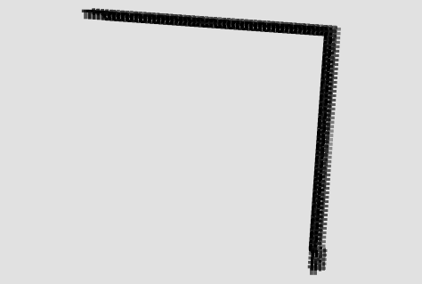 [O-2].[O-2].[O-2].[O-2].[O-2].[O-2].[O-2].[O-2].[O-2].[O-2].[O-2].[O-2].[O-2].[O-2].[O-2].[O-2].[O-2].[O-2].[O-2].[O-2].[O-2].[O-2].[O-2].[O-2].[O-2].[O-2].[O-2].[O-2].[O-2].[O-2].[O-2].[O-2].[O-2].[O-2].[O-2].[O-2].[O-2].[O-2].[O-2].[O-2].[O-2].[O-2].[O-2].[O-2].[O-2].[O-2].[O-2].[O-2].[O-2].[O-2].[O-2].[O-2].[O-2].[O-2].[O-2].[O-2].[O-2].[O-2].[O-2].[O-2].[O-2].[O-2].[O-2].[O-2].[O-2].[O-2].[O-2].[O-2].[O-2].[O-2].[O-2].[O-2].[O-2].[O-2].[O-2].[O-2].[O-2].[O-2].[O-2].[O-2].[O-2].[O-2].[O-2].[O-2].[O-2].[O-2].[O-2].[O-2].[O-2].[O-2].[O-2].[O-2].[O-2].[O-2].[O-2].[O-2].[O-2].[O-2].[O-2].[O-2].[Ti+4].[Ti+4].[Ti+4].[Ti+4].[Ti+4].[Ti+4].[Ti+4].[Ti+4].[Ti+4].[Ti+4]